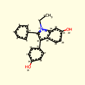 CCn1c(-c2ccccc2)c(-c2ccc(O)cc2)c2ccc(O)cc21